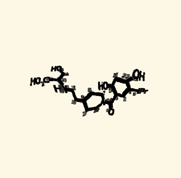 CC(C)c1cc(C(=O)N2CCC(CCNC(CO)C(=O)O)CC2)c(O)cc1O